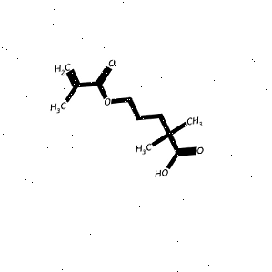 C=C(C)C(=O)OCCCC(C)(C)C(=O)O